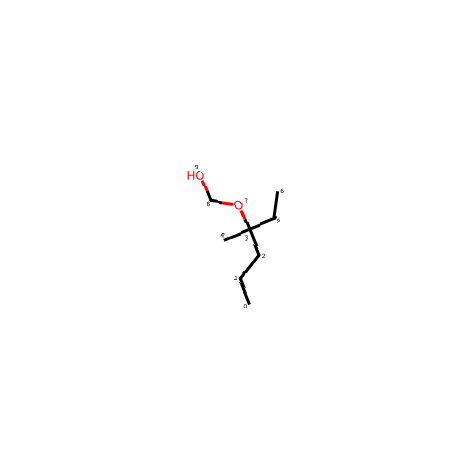 CCCC(C)(CC)OCO